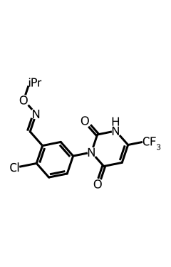 CC(C)ON=Cc1cc(-n2c(=O)cc(C(F)(F)F)[nH]c2=O)ccc1Cl